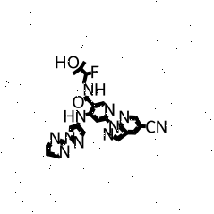 CC(C)(O)C(F)CNC(=O)c1cnc(-n2ncc3cc(C#N)cnc32)cc1Nc1cnn(-c2ncccn2)c1